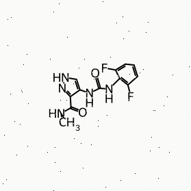 CNC(=O)c1n[nH]cc1NC(=O)Nc1c(F)cccc1F